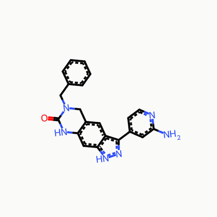 Nc1cc(-c2n[nH]c3cc4c(cc23)CN(Cc2ccccc2)C(=O)N4)ccn1